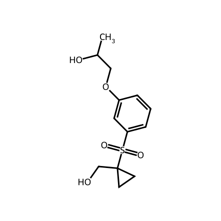 CC(O)COc1cccc(S(=O)(=O)C2(CO)CC2)c1